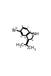 CC(C)=C1CNc2ccc(Br)cc21